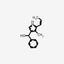 C/C=C\c1[nH]cc(C(O)c2ccccc2)c1C